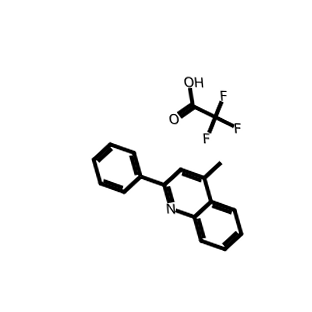 Cc1cc(-c2ccccc2)nc2ccccc12.O=C(O)C(F)(F)F